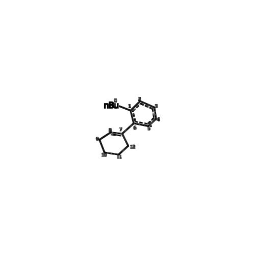 CCCCc1ccc[c]c1C1=CCCCC1